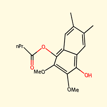 CCCC(=O)Oc1c(OC)c(OC)c(O)c2cc(C)c(C)cc12